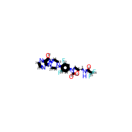 O=C(NC[C@H]1CN(c2cc(F)c(N3CCn4c(=O)c5nccnc5n4CC3)c(F)c2)C(=O)O1)C(F)F